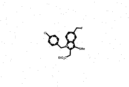 CCOC(=O)Cc1c(SC)c2cc(CF)ccc2n1Cc1ccc(Cl)cc1